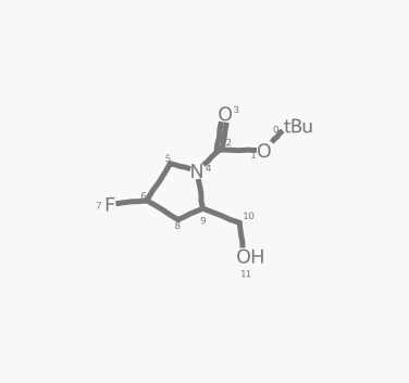 CC(C)(C)OC(=O)N1CC(F)CC1CO